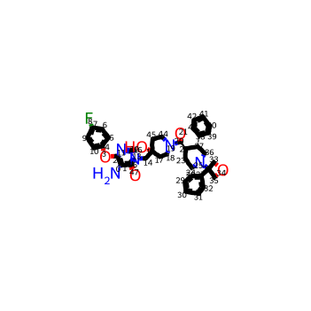 Nc1c(Oc2ccc(F)cc2)ncn(CC2(O)CCN(C(=O)[C@@H]3CCN(C4(c5ccccc5)COC4)C[C@H]3c3ccccc3)CC2)c1=O